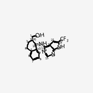 OC[C@@H]1CCc2ccccc2[C@H]1Nc1ncnc2[nH]c(C(F)(F)F)cc12